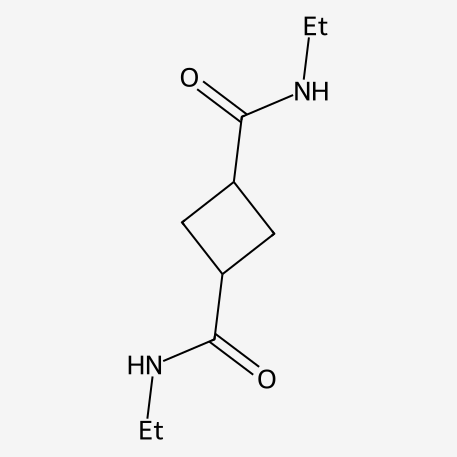 CCNC(=O)C1CC(C(=O)NCC)C1